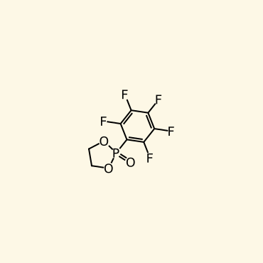 O=P1(c2c(F)c(F)c(F)c(F)c2F)OCCO1